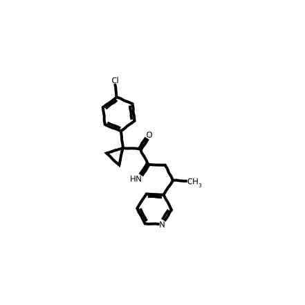 CC(CC(=N)C(=O)C1(c2ccc(Cl)cc2)CC1)c1cccnc1